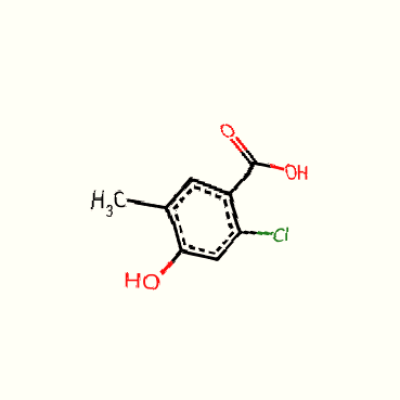 Cc1cc(C(=O)O)c(Cl)cc1O